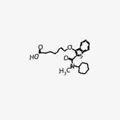 CN(C(=O)c1sc2ccccc2c1OCCCCCC(=O)O)C1CCCCC1